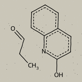 CCC=O.Oc1ccc2ccccc2n1